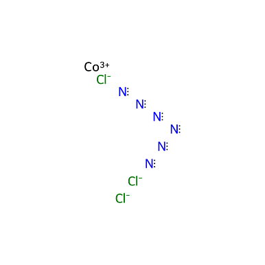 [Cl-].[Cl-].[Cl-].[Co+3].[N].[N].[N].[N].[N].[N]